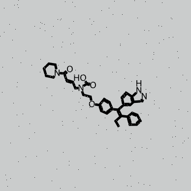 CCC(=C(c1ccc(OCCN(C/C=C/C(=O)N2CCCCC2)C(=O)O)cc1)c1ccc2[nH]ncc2c1)c1ccccc1